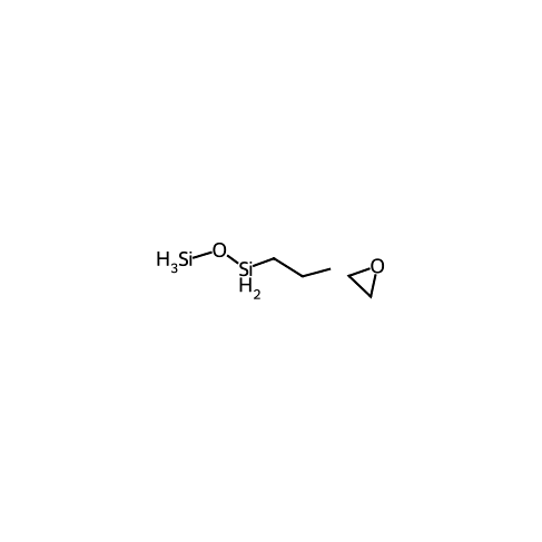 C1CO1.CCC[SiH2]O[SiH3]